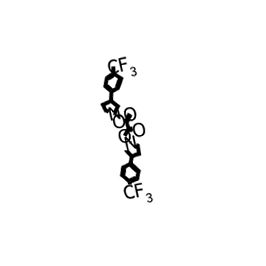 O=C(ON1CCC(c2ccc(C(F)(F)F)cc2)C1)C(=O)ON1CCC(c2ccc(C(F)(F)F)cc2)C1